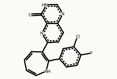 O=c1[nH]cnc2ccc(C3=C(c4ccc(F)c(Cl)c4)NC=CC=C3)nc12